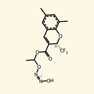 Cc1cc(C)c2c(c1)C=C(C(=O)OC(C)O/N=N\O)[C@@H](C(F)(F)F)O2